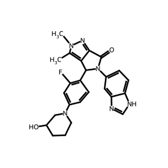 Cc1c2c(nn1C)C(=O)N(c1ccc3[nH]cnc3c1)C2c1ccc(N2CCCC(O)C2)cc1F